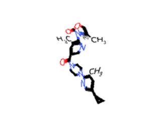 Cc1cc(C2CC2)cnc1N1CCN(C(=O)c2cnc(N3C(=O)OC[C@H]3C)c(C)c2)CC1